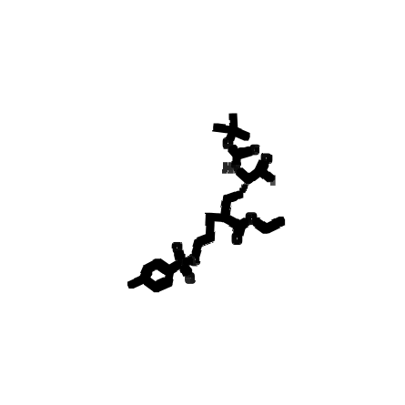 CCOC(=O)C(CCCOS(=O)(=O)c1ccc(C)cc1)CC[C@H](NC(=O)OC(C)(C)C)C(=O)I